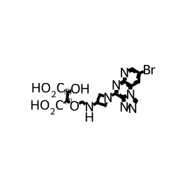 O=C(O)[C@H](O)[C@@H](OCNC1CN(c2nc3ncc(Br)cc3n3cnnc23)C1)C(=O)O